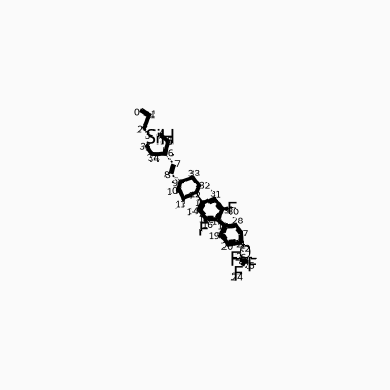 CCC[Si@H]1CC[C@H](CC[C@H]2CC[C@H](c3cc(F)c(-c4ccc(OC(F)(F)F)cc4)c(F)c3)CC2)CC1